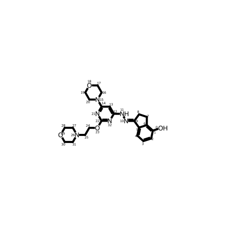 Oc1cccc2c1CCC2=NNc1cc(N2CCOCC2)nc(OCCN2CCOCC2)n1